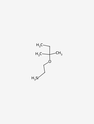 CCC(C)(C)OCC[SiH3]